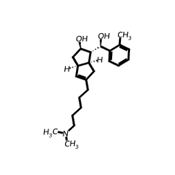 Cc1ccccc1[C@H](O)[C@@H]1[C@H]2CC(CCCCCN(C)C)=C[C@H]2C[C@H]1O